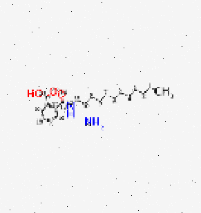 CCCCCCCCCCCCNC(=O)c1ccccc1C(=O)O.N